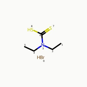 Br.CCN(CC)C(=S)S